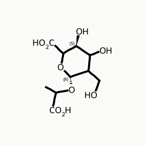 CC(O[C@@H]1OC(C(=O)O)[C@@H](O)C(O)C1CO)C(=O)O